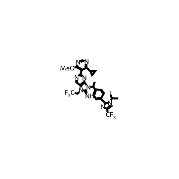 COc1ncnc(C2CC2)c1-c1ncc2c(n1)n(C(C)c1ccc(-c3nc(C(F)(F)F)cn3C(C)I)cc1)c(=N)n2CC(F)(F)F